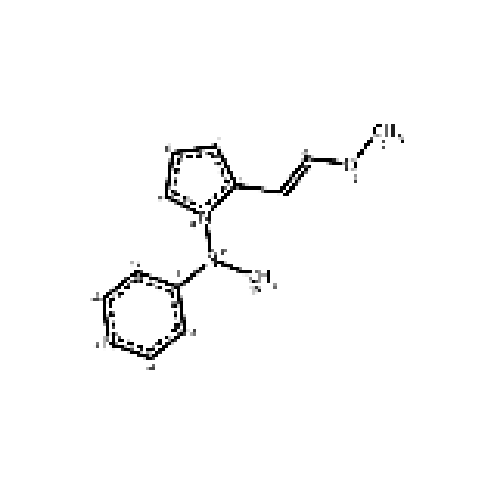 CO/C=C/c1cccn1N(C)c1ccncc1